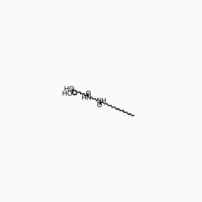 CCC=CCC=CCC=CCCCCCCCC(=O)NCCCCNC(=O)C=CC=Cc1ccc(O)c(O)c1